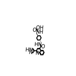 O=C(O)NC[C@H]1CC[C@H](CNC(=O)c2cc(-c3cn[nH]c3)nc3ccccc23)CC1